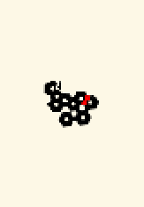 c1ccc(-c2cccc(-c3ccccc3)c2-c2cc3c4cccc5c4c(cc3c3ccccc23)-c2ncccc2-5)cc1